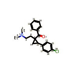 CCN(CC)CCC1(C(=O)c2ccccc2)CC1c1ccc(Cl)cc1